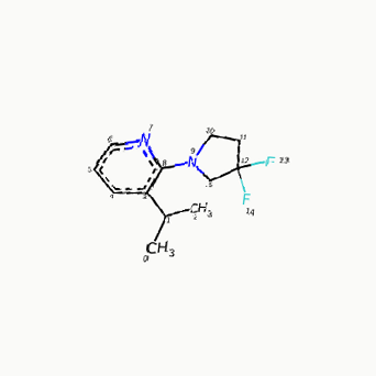 CC(C)c1cccnc1N1CCC(F)(F)C1